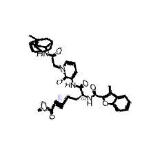 COC(=O)/C=C/CC[C@H](NC(=O)c1oc2ccccc2c1C)C(=O)Nc1cccn(CC(=O)NC2C3CC4CC2C(C)(C4)C3)c1=O